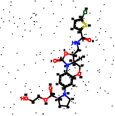 O=C(NC[C@@H]1OC(=O)N2c3ccc(N4CCC[C@@H]4C(=O)OCCO)cc3OC[C@@H]12)c1ccc(Cl)s1